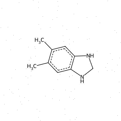 Cc1cc2c(cc1C)NCN2